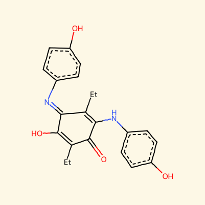 CCC1=C(O)/C(=N/c2ccc(O)cc2)C(CC)=C(Nc2ccc(O)cc2)C1=O